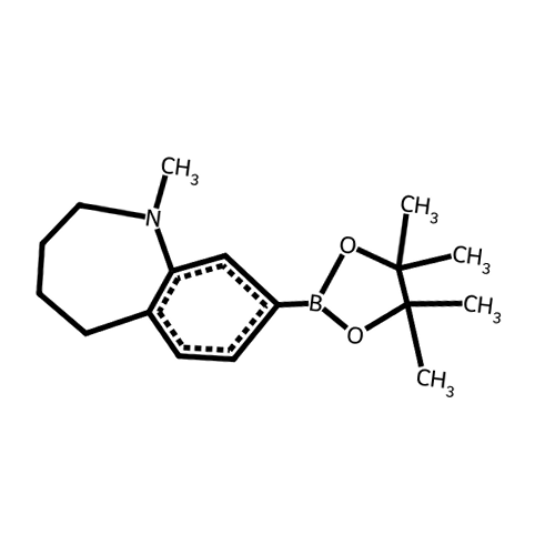 CN1CCCCc2ccc(B3OC(C)(C)C(C)(C)O3)cc21